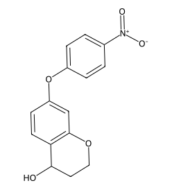 O=[N+]([O-])c1ccc(Oc2ccc3c(c2)OCCC3O)cc1